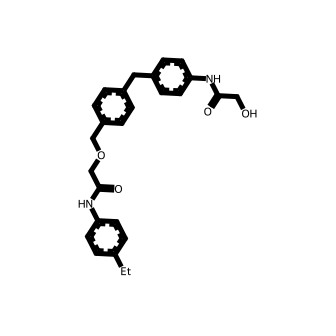 CCc1ccc(NC(=O)COCc2ccc(Cc3ccc(NC(=O)CO)cc3)cc2)cc1